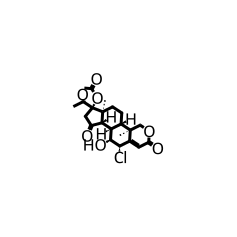 CC(=O)O[C@]1(C(C)=O)CC(=O)[C@H]2[C@@H]3[C@H](O)[C@@H](Cl)C4=CC(=O)OC[C@]4(C)[C@H]3CC[C@@]21C